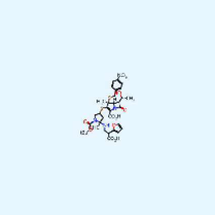 C[C@@H](O)[C@H]1C(=O)N2C(C(=O)O)=C(S[C@@H]3CN(C(=O)OC(C)(C)C)[C@@](C=O)(NCC(C(=O)O)c4ccco4)C3)[C@](C)(SCc3ccc([N+](=O)[O-])cc3)[C@H]12